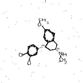 CN[C@H]1Cc2ccc(OC)cc2[C@@H](c2ccc(Cl)c(Cl)c2)C1